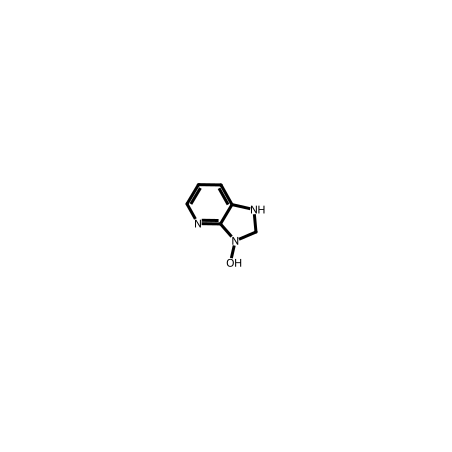 ON1CNc2cccnc21